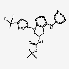 CC(C)(C)OC(=O)NC1Cc2c(Nc3cccnc3)cccc2N(c2ccc(C(F)(F)F)cc2)C1